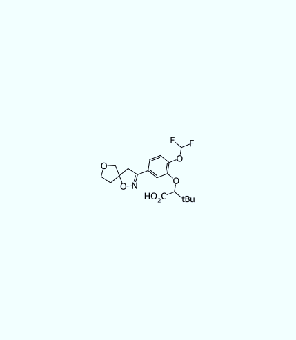 CC(C)(C)C(Oc1cc(C2=NOC3(CCOC3)C2)ccc1OC(F)F)C(=O)O